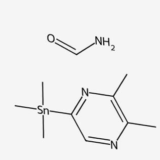 Cc1nc[c]([Sn]([CH3])([CH3])[CH3])nc1C.NC=O